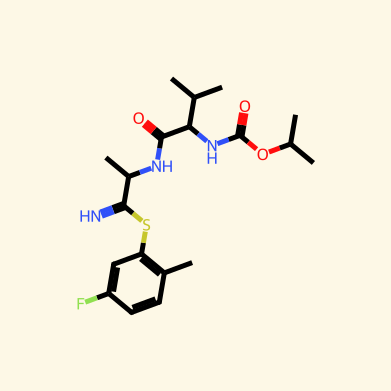 Cc1ccc(F)cc1SC(=N)C(C)NC(=O)C(NC(=O)OC(C)C)C(C)C